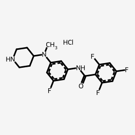 CN(c1cc(F)cc(NC(=O)c2c(F)cc(F)cc2F)c1)C1CCNCC1.Cl